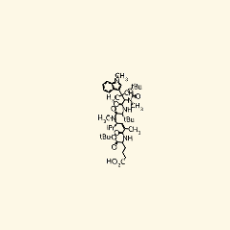 CC(=CC(C(C)C)N(C)C(=O)C(NC(=O)C(N(C)C(=O)OC(C)(C)C)C(C)(C)c1cn(C)c2ccccc12)C(C)(C)C)C(=O)NC(CCCC(=O)O)C(=O)OC(C)(C)C